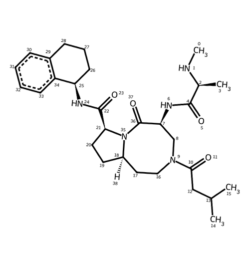 CN[C@@H](C)C(=O)N[C@H]1CN(C(=O)CC(C)C)CC[C@H]2CC[C@@H](C(=O)N[C@@H]3CCCc4ccccc43)N2C1=O